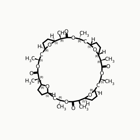 CC1C(=O)O[C@H](C)C[C@@H]2CC[C@@H](O2)[C@@H](C)C(=O)O[C@@H](C)C[C@H]2CC[C@H](O2)[C@@H](C)C(=O)O[C@H](C)C[C@@H]2CC[C@@H](O2)[C@@H](C)C(=O)O[C@@H](C)C[C@H]2CC[C@@H]1O2